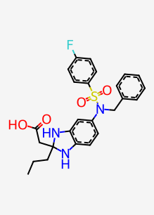 CCCC1(CC(=O)O)Nc2ccc(N(Cc3ccccc3)S(=O)(=O)c3ccc(F)cc3)cc2N1